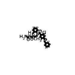 C[C@@H]1CN(C(=O)c2ccc(OCc3ccccc3)cc2Cl)c2ccccc2CN1C(=O)NC(N)=O